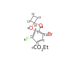 CCOC(=O)c1cc(Br)c2c(c1F)OC1(CCC1)O2